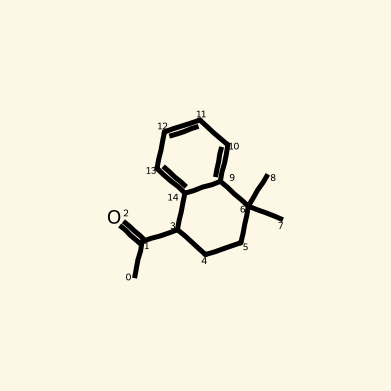 CC(=O)C1CCC(C)(C)c2ccccc21